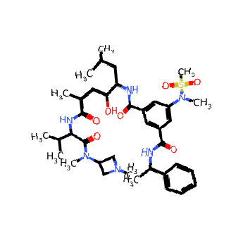 CC(C)CC(NC(=O)c1cc(C(=O)NC(C)c2ccccc2)cc(N(C)S(C)(=O)=O)c1)C(O)CC(C)C(=O)NC(C(=O)N(C)C1CN(C)C1)C(C)C